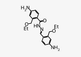 CCOCc1cc(N)ccc1/C=N/NC(=O)c1ccc(N)cc1COCC